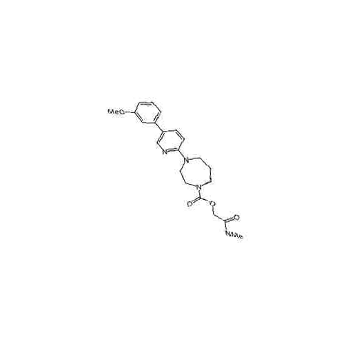 CNC(=O)COC(=O)N1CCCN(c2ccc(-c3cccc(OC)c3)cn2)CC1